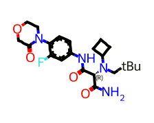 CC(C)(C)CN(C1CCC1)[C@H](C(N)=O)C(=O)Nc1ccc(N2CCOCC2=O)c(F)c1